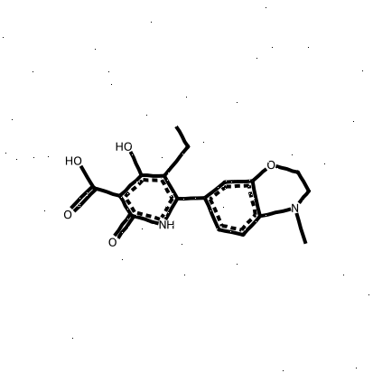 CCc1c(-c2ccc3c(c2)OCCN3C)[nH]c(=O)c(C(=O)O)c1O